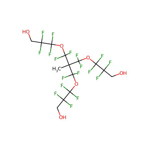 CC(C(F)(F)OC(F)(F)C(F)(F)CO)(C(F)(F)OC(F)(F)C(F)(F)CO)C(F)(F)OC(F)(F)C(F)(F)CO